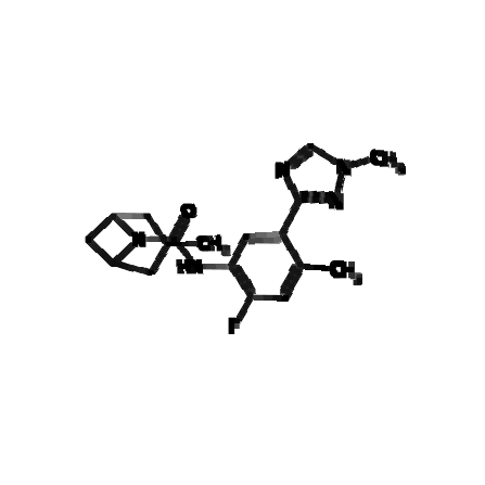 Cc1cc(F)c(NC(=O)N2C3CC(C)CC2C3)cc1-c1ncn(C)n1